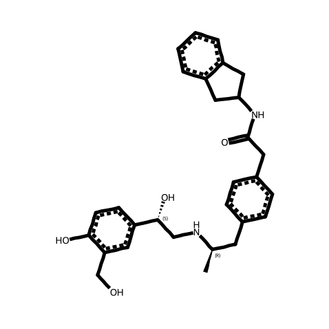 C[C@H](Cc1ccc(CC(=O)NC2Cc3ccccc3C2)cc1)NC[C@@H](O)c1ccc(O)c(CO)c1